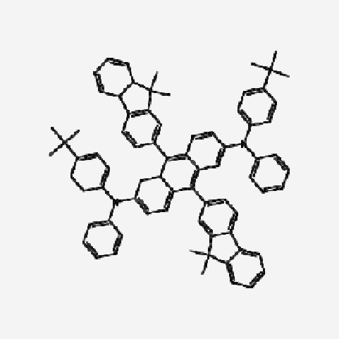 CC(C)(C)C1=CC=C(N(C2=CC=C3C(c4ccc5c(c4)C(C)(C)c4ccccc4-5)=c4cc(N(c5ccccc5)c5ccc(C(C)(C)C)cc5)ccc4=C(c4ccc5c(c4)C(C)(C)C4C=CC=CC54)C3C2)c2ccccc2)CC1